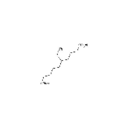 CCCCCCCCCCCCCC(CCCC(=O)O)CC(C)C